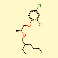 C=C(COc1ccc(Cl)cc1Cl)OCC(CC)CCCC